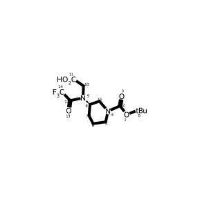 CC(C)(C)OC(=O)N1CCC[C@H](N(CC(=O)O)C(=O)C(F)(F)F)C1